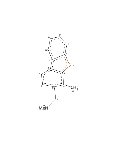 CNCc1ccc2c(sc3ccccc32)c1C